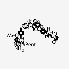 CCCCCNc1nc(N)nc2ccn(Cc3ccc(CN4CCN(C(=O)OC[C@@]5(O)[C@H](O)OC[C@@](Oc6cccc(NC(=O)CCN7C(=O)C=CC7=O)c6)(C(=O)O)[C@H]5O)CC4)cc3OC)c12